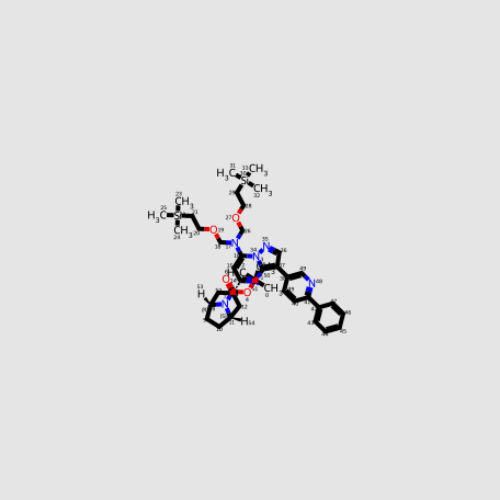 CC(C)(C)OC(=O)N1[C@@H]2CC[C@H]1C[C@@H](c1cc(N(COCC[Si](C)(C)C)COCC[Si](C)(C)C)n3ncc(-c4ccc(-c5ccccc5)nc4)c3n1)C2